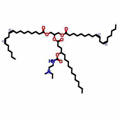 CCCCC/C=C\C/C=C\CCCCCCCC(=O)OCC(COC(=O)CCCCCCC/C=C\C/C=C\CCCCC)OC(=O)CCC(CCCCCCCCCCCC)OC(=O)NCCN(C)CC